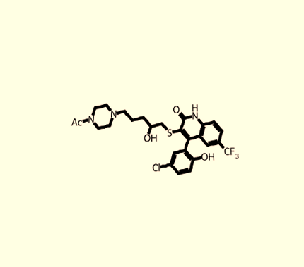 CC(=O)N1CCN(CCCC(O)CSc2c(-c3cc(Cl)ccc3O)c3cc(C(F)(F)F)ccc3[nH]c2=O)CC1